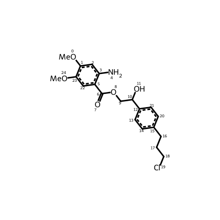 COc1cc(N)c(C(=O)OCC(O)c2ccc(CCCCl)cc2)cc1OC